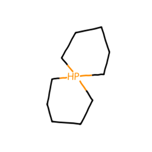 C1CC[PH]2(CC1)CCCCC2